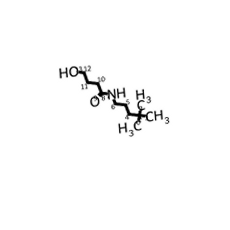 CC(C)(C)CCCNC(=O)CCCO